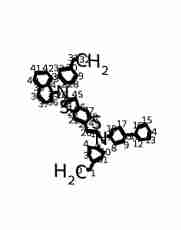 C=Cc1ccc(N(c2ccc(-c3ccccc3)cc2)c2cc3cc4sc(N(c5ccc(C=C)cc5)c5cccc6ccccc56)cc4cc3s2)cc1